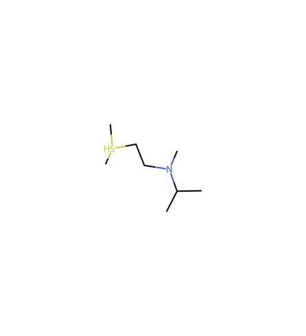 CC(C)N(C)CC[SH](C)C